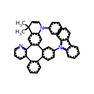 CC1(C)C=CN(c2ccccc2)c2cc3c(cc21)-c1ncccc1-c1ccccc1-c1ccc(-n2c4ccccc4c4ccccc42)cc1-3